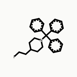 ICCC1CCN(C(c2ccccc2)(c2ccccc2)c2ccccc2)CC1